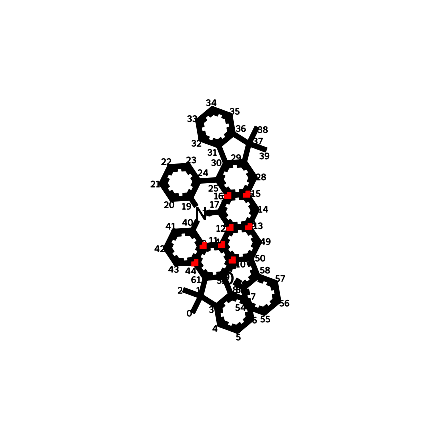 CC1(C)c2ccccc2-c2cc(-c3ccccc3N(c3ccccc3-c3cccc4c3-c3ccccc3C4(C)C)c3ccccc3-c3cccc4c3oc3ccccc34)ccc21